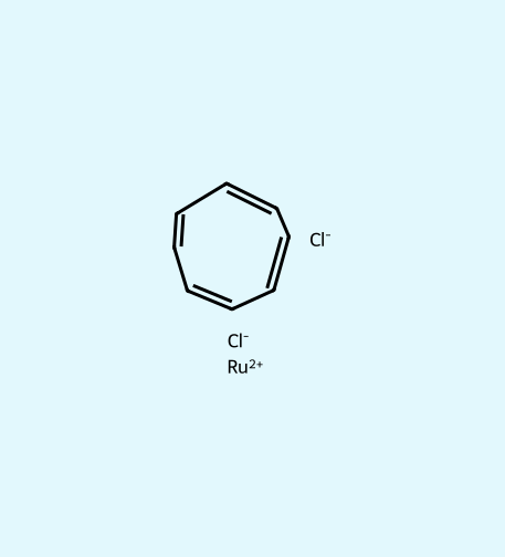 C1=C\C=C/C=C\C=C/1.[Cl-].[Cl-].[Ru+2]